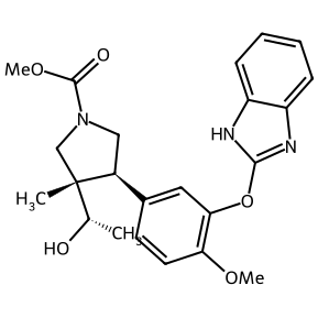 COC(=O)N1C[C@@H](c2ccc(OC)c(Oc3nc4ccccc4[nH]3)c2)[C@](C)([C@H](C)O)C1